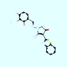 NC1=C(c2nc3ccccc3s2)C(=O)CN1/N=C/c1ccc(O)c(O)c1O